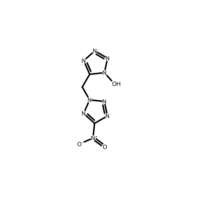 O=[N+]([O-])c1nnn(Cc2nnnn2O)n1